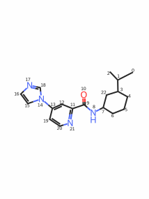 CC(C)C1CCCC(NC(=O)c2cc(-n3ccnc3)ccn2)C1